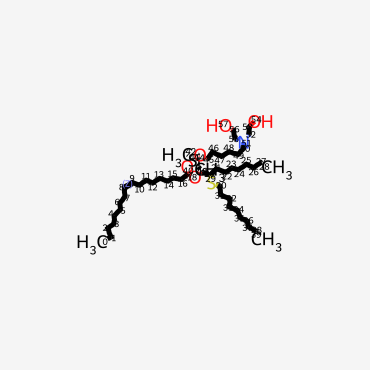 CCCCCCCC/C=C\CCCCCCCC(OCC(CCCCCCCC)SCCCCCCCCCC)O[Si](C)(C)OCCCCCCN(CCO)CCO